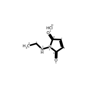 CCNN1C(=O)C=CC1=O.Cl